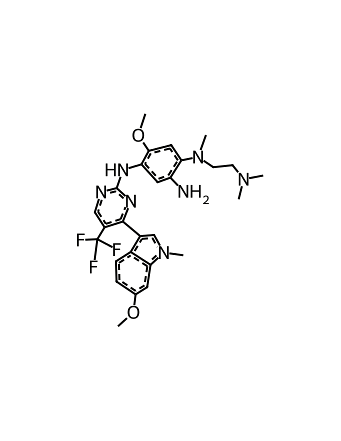 COc1ccc2c(-c3nc(Nc4cc(N)c(N(C)CCN(C)C)cc4OC)ncc3C(F)(F)F)cn(C)c2c1